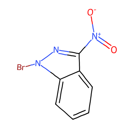 O=[N+]([O-])c1nn(Br)c2ccccc12